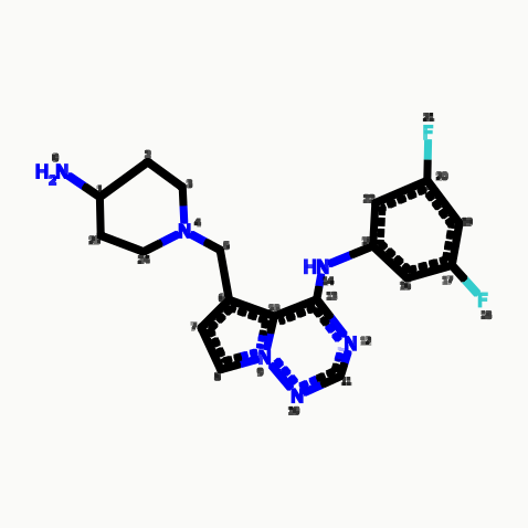 NC1CCN(Cc2ccn3ncnc(Nc4cc(F)cc(F)c4)c23)CC1